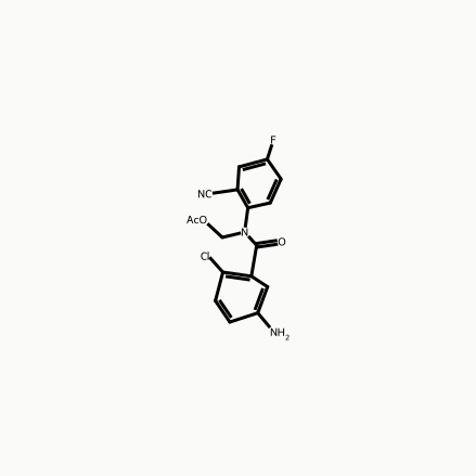 CC(=O)OCN(C(=O)c1cc(N)ccc1Cl)c1ccc(F)cc1C#N